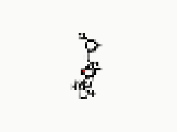 Cc1cc(N2C[C@H]3CC[C@@H](C2)[C@@H]3Nc2nc3n(n2)CC[C@@H]3Oc2cc(F)cc(Cl)c2)ncn1